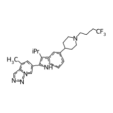 Cc1cc(-c2[nH]c3ccc(C4CCN(CCCC(F)(F)F)CC4)cc3c2C(C)C)cn2nncc12